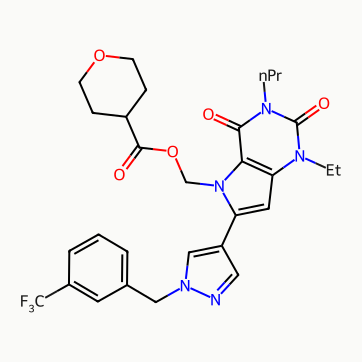 CCCn1c(=O)c2c(cc(-c3cnn(Cc4cccc(C(F)(F)F)c4)c3)n2COC(=O)C2CCOCC2)n(CC)c1=O